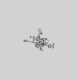 COC(=O)[C@@]1(OCCCCCCO)C[C@H](OC(C)=O)[C@@H](NC(=O)COC(C)=O)[C@H]([C@H](OC(C)=O)[C@@H](CNC(=O)Cc2ccc(C(F)F)cc2)OC(C)=O)O1